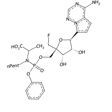 CCCCCN(C(C)C(=O)O)P(=O)(OC[C@@]1(CF)O[C@@H](c2ccc3c(N)ncnn23)[C@H](O)[C@@H]1O)Oc1ccccc1